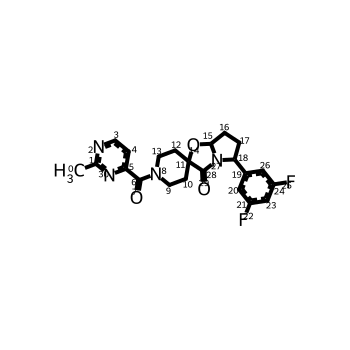 Cc1nccc(C(=O)N2CCC3(CC2)OC2CCC(c4cc(F)cc(F)c4)N2C3=O)n1